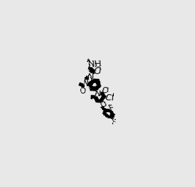 CNCC(=O)N1CN(C(C)=O)c2cc(-n3c(C)cc(OCc4ccc(F)cc4F)c(Cl)c3=O)ccc21